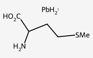 CSCCC(N)C(=O)O.[PbH2]